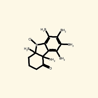 Bc1c(B)c(B)c2c(c1B)B(Cl)C1(B)CCCC(=O)C21N